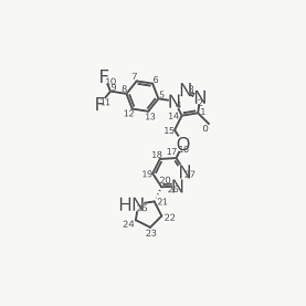 Cc1nnn(-c2ccc(C(F)F)cc2)c1COc1ccc([C@@H]2CCCN2)nn1